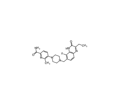 CCc1nc2ccc(CN3CCN(c4ccc(C(N)=O)nc4C)CC3)c(F)c2[nH]c1=O